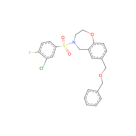 O=S(=O)(c1ccc(F)c(Cl)c1)N1CCOc2ccc(COCc3ccccc3)cc2C1